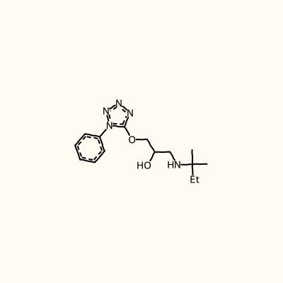 CCC(C)(C)NCC(O)COc1nnnn1-c1ccccc1